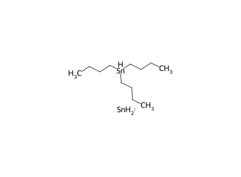 CCC[CH2][SnH]([CH2]CCC)[CH2]CCC.[SnH2]